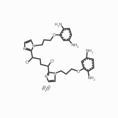 Nc1ccc(N)c(OCCCN2C=C[N+]=C2C(Cl)CCC(Cl)C2=[N+]C=CN2CCCOc2cc(N)ccc2N)c1.O.O